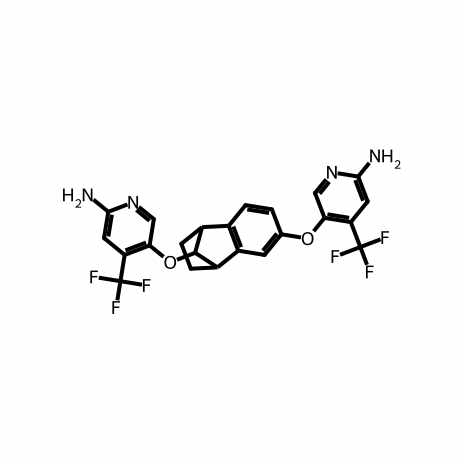 Nc1cc(C(F)(F)F)c(Oc2ccc3c(c2)C2CCC3C2Oc2cnc(N)cc2C(F)(F)F)cn1